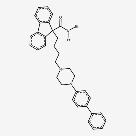 CCN(CC)C(=O)C1(CCCCN2CCN(c3ccc(-c4ccccc4)cc3)CC2)c2ccccc2-c2ccccc21